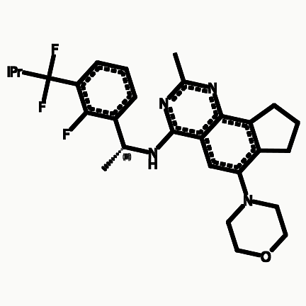 Cc1nc(N[C@H](C)c2cccc(C(F)(F)C(C)C)c2F)c2cc(N3CCOCC3)c3c(c2n1)CCC3